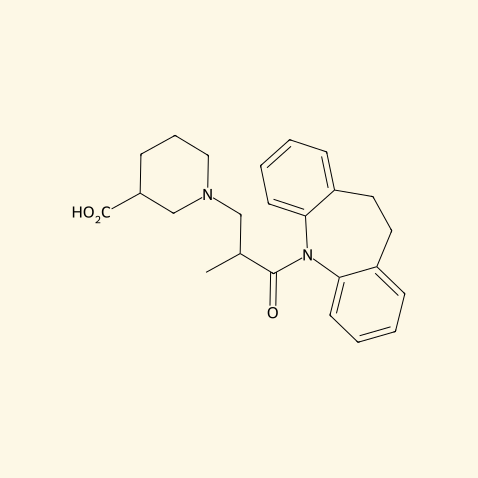 CC(CN1CCCC(C(=O)O)C1)C(=O)N1c2ccccc2CCc2ccccc21